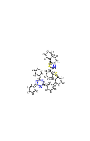 c1ccc(-c2nc(-c3ccccc3)nc(-c3cccc(-c4cccc5sc6c(-c7nc8ccc9ccccc9c8s7)cccc6c45)c3)n2)cc1